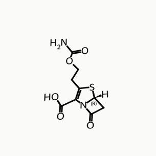 NC(=O)OCCC1=C(C(=O)O)N2C(=O)C[C@H]2S1